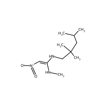 CN/C(=C\[N+](=O)[O-])NCC(C)(C)CC(C)C